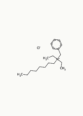 CCCCCCCC[N+](CC)(CC)Cc1ccccc1.[Cl-]